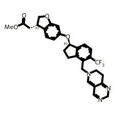 COC(=O)C[C@@H]1COc2cc(O[C@@H]3CCc4c3ccc(C(F)(F)F)c4CN3C=C4C=NCN=C4CC3)ccc21